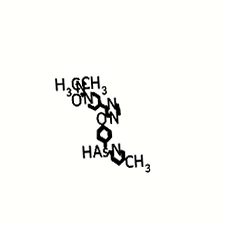 Cc1ccc([AsH]c2ccc(Oc3nccnc3C3CCN(C(=O)N(C)C)CC3)cc2)nc1